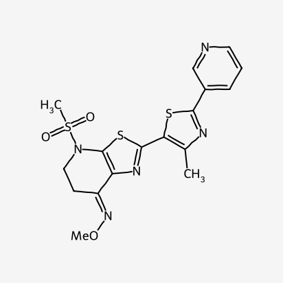 CO/N=C1\CCN(S(C)(=O)=O)c2sc(-c3sc(-c4cccnc4)nc3C)nc21